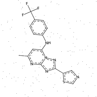 Cc1cc(Nc2ccc(C(F)(F)F)cc2)n2nc(-c3cncs3)nc2n1